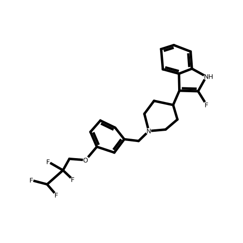 Fc1[nH]c2ccccc2c1C1CCN(Cc2cccc(OCC(F)(F)C(F)F)c2)CC1